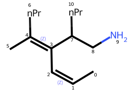 C/C=C\C(=C(/C)CCC)C(CN)CCC